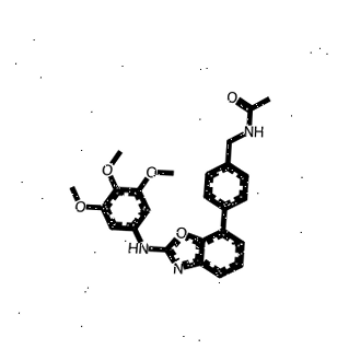 COc1cc(Nc2nc3cccc(-c4ccc(CNC(C)=O)cc4)c3o2)cc(OC)c1OC